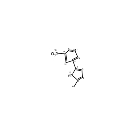 Cc1ccc(-c2cncc([N+](=O)[O-])c2)[nH]1